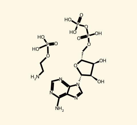 NCCOP(=O)(O)O.Nc1ncnc2c1ncn2[C@@H]1O[C@H](COP(=O)(O)OP(=O)(O)O)[C@@H](O)[C@H]1O